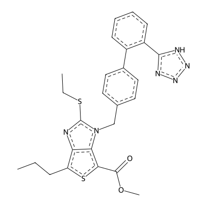 CCCc1sc(C(=O)OC)c2c1nc(SCC)n2Cc1ccc(-c2ccccc2-c2nnn[nH]2)cc1